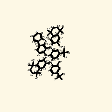 Cc1cc(C(C)(C)C)ccc1N1c2cc3c(cc2B2c4ccc5c(sc6ccccc65)c4N(c4cc5c(cc4C)C(C)(C)CCC5(C)C)c4cc(C(C)(C)C)cc1c42)C(C)(C)CCC3(C)C